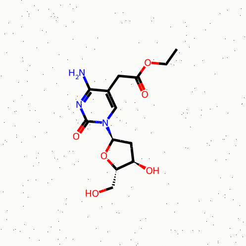 CCOC(=O)Cc1cn([C@H]2C[C@@H](O)[C@H](CO)O2)c(=O)nc1N